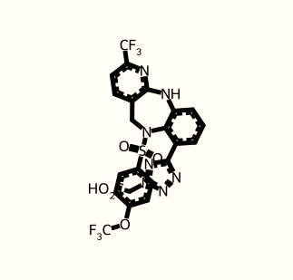 O=C(O)Cn1nnc(-c2cccc3c2N(S(=O)(=O)c2ccc(OC(F)(F)F)cc2)Cc2ccc(C(F)(F)F)nc2N3)n1